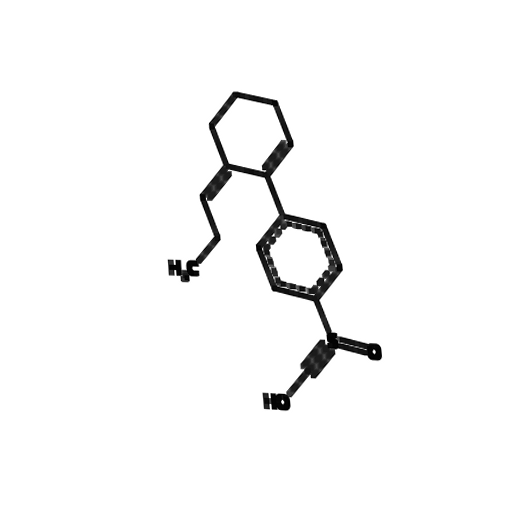 CC/C=C1/CCCC=C1c1ccc(S(=O)#CO)cc1